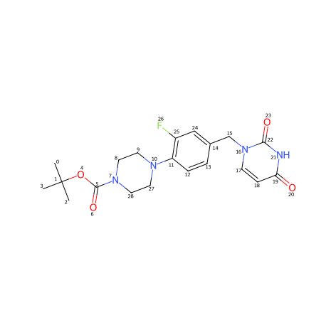 CC(C)(C)OC(=O)N1CCN(c2ccc(Cn3ccc(=O)[nH]c3=O)cc2F)CC1